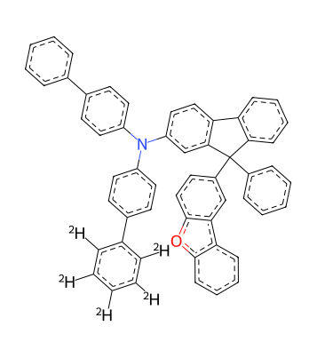 [2H]c1c([2H])c([2H])c(-c2ccc(N(c3ccc(-c4ccccc4)cc3)c3ccc4c(c3)C(c3ccccc3)(c3ccc5oc6ccccc6c5c3)c3ccccc3-4)cc2)c([2H])c1[2H]